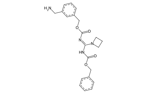 NCc1cccc(COC(=O)N=C(NC(=O)OCc2ccccc2)N2CCC2)c1